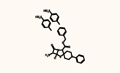 Cc1ccc(S(=O)(=O)O)cc1.Cc1ccc(S(=O)(=O)O)cc1.NC1C(=O)N2C(C(=O)OCc3ccccc3)C3(CCN(c4ccccc4)CC3)S[C@H]12